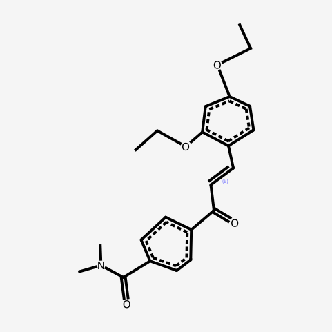 CCOc1ccc(/C=C/C(=O)c2ccc(C(=O)N(C)C)cc2)c(OCC)c1